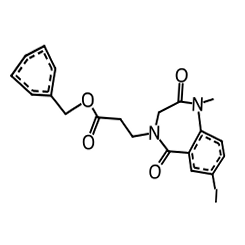 CN1C(=O)CN(CCC(=O)OCc2ccccc2)C(=O)c2cc(I)ccc21